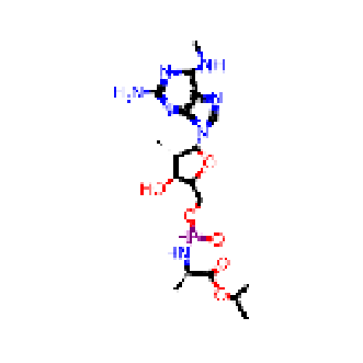 CNc1nc(N)nc2c1ncn2[C@@H]1OC(CO[PH](=O)N[C@H](C)C(=O)OC(C)C)[C@@H](O)[C@@H]1C